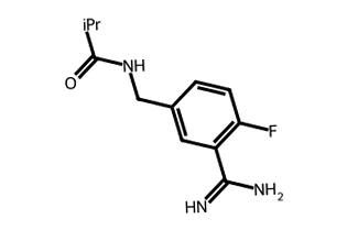 CC(C)C(=O)NCc1ccc(F)c(C(=N)N)c1